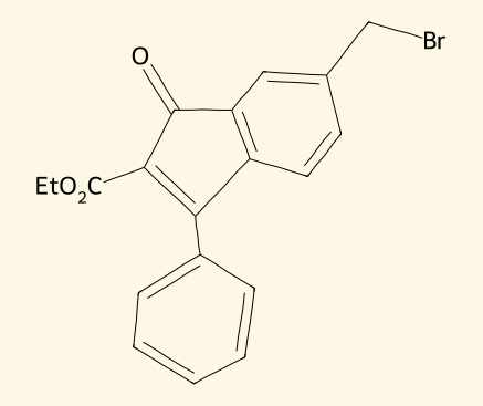 CCOC(=O)C1=C(c2ccccc2)c2ccc(CBr)cc2C1=O